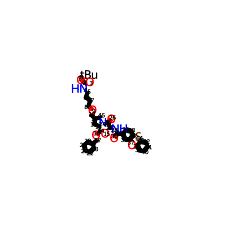 CC(C)(C)OC(=O)NC/C=C/COCC1C[C@@H](C(=O)OCc2ccccc2)N(C(=O)CNC(=O)c2ccc3c(c2)Oc2ccccc2S3)C1